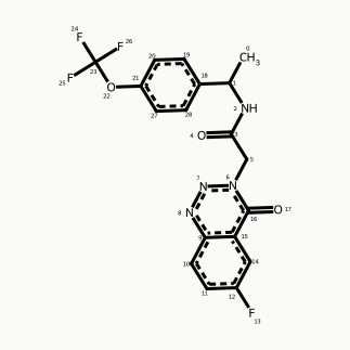 CC(NC(=O)Cn1nnc2ccc(F)cc2c1=O)c1ccc(OC(F)(F)F)cc1